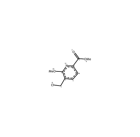 COC(=O)c1ccc(CCl)c(OC)n1